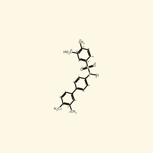 CCN(c1ccc(-c2ccc(C)c(C)c2)cc1)S(=O)(=O)c1ccc(C)c(C(=O)O)c1